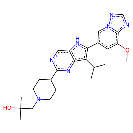 COc1cc(-c2[nH]c3cnc(C4CCN(CC(C)(C)O)CC4)nc3c2C(C)C)cn2ncnc12